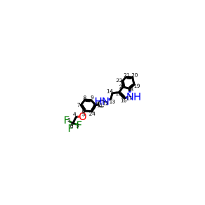 FC(F)(F)COc1cccc(CNCCc2c[nH]c3ccccc23)c1